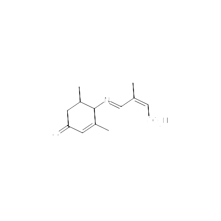 CC1=CC(=O)CC(C)C1/N=C/C(C)=C\C(=O)O